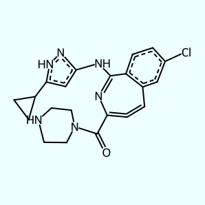 O=C(C1=C=Cc2cc(Cl)ccc2C(Nc2cc(C3CC3)[nH]n2)=N1)N1CCNCC1